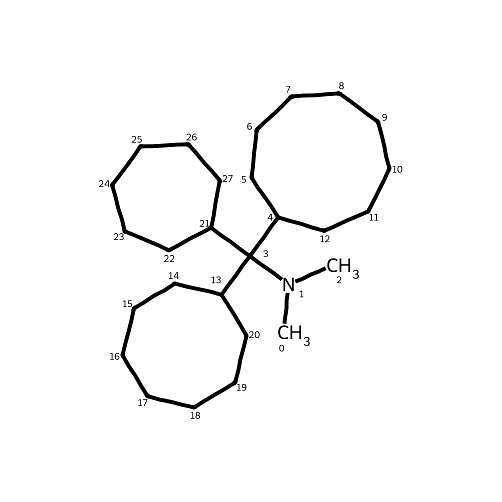 CN(C)C(C1CCCCCCCC1)(C1CCCCCCC1)C1CCCCCC1